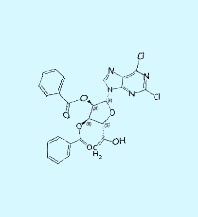 C=C(O)[C@H]1O[C@@H](n2cnc3c(Cl)nc(Cl)nc32)[C@H](OC(=O)c2ccccc2)[C@@H]1OC(=O)c1ccccc1